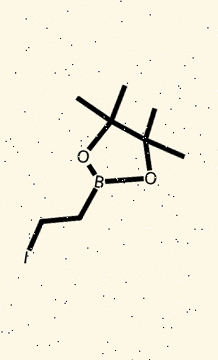 CC1(C)OB(CCI)OC1(C)C